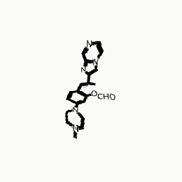 C/C(=C\c1ccc(N2CCN(C)CC2)cc1OC=O)c1cn2ccncc2n1